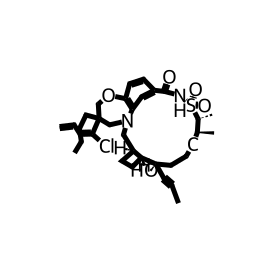 C=C/C=C(/Cl)C1(CCCC)COc2ccc3cc2N(C[C@@H]2CC[C@H]2[C@](O)(C#CC)CCC[C@H](C)[C@@H](C)S(=O)(=O)NC3=O)C1